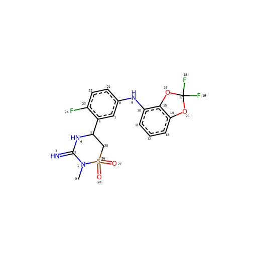 CN1C(=N)NC(c2cc(Nc3cccc4c3OC(F)(F)O4)ccc2F)CS1(=O)=O